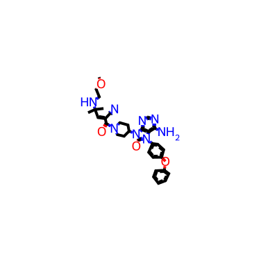 COCCNC(C)(C)C=C(C#N)C(=O)N1CCC(n2c(=O)n(-c3ccc(Oc4ccccc4)cc3)c3c(N)ncnc32)CC1